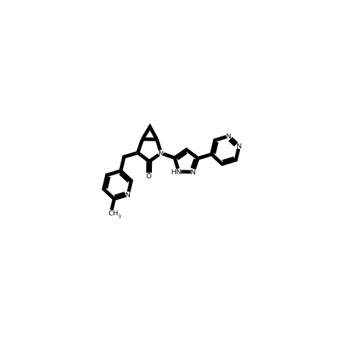 Cc1ccc(CC2C(=O)N(c3cc(-c4ccnnc4)n[nH]3)C3CC23)cn1